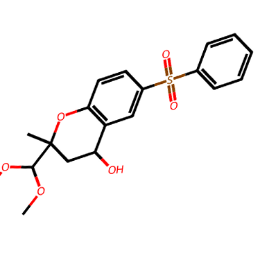 COC(OC)C1(C)CC(O)c2cc(S(=O)(=O)c3ccccc3)ccc2O1